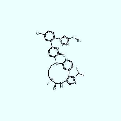 CCOc1cn(-c2ccc(Cl)cc2-c2ccc([C@H]3CCC[C@@H](C)C(=O)Nc4cnn(C(F)F)c4-c4ccnc3c4)c(=O)o2)nn1